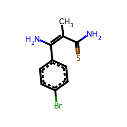 CC(C(N)=S)=C(N)c1ccc(Br)cc1